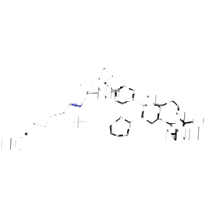 C#CCCCC(O)/C=C/C(=O)NC1(c2ccc(-c3nc4ccn5c(=O)[nH]nc5c4cc3-c3ccccc3)cc2)CCC1